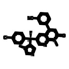 Cn1cncc1[C@@](F)(c1ccc(Cl)cc1)c1cnc2c(c1)c(-c1cccc(C#N)c1)cc(=O)n2C